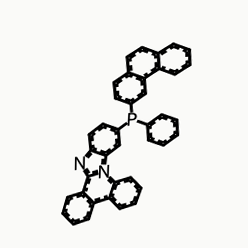 c1ccc(P(c2ccc3ccc4ccccc4c3c2)c2ccc3nc4c5ccccc5c5ccccc5n4c3c2)cc1